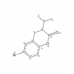 CC(C)C1Cc2cc(Br)ccc2OC1=O